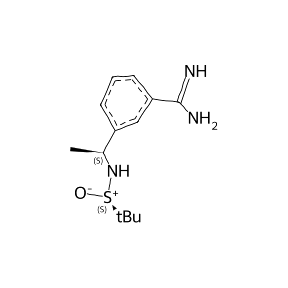 C[C@H](N[S@+]([O-])C(C)(C)C)c1cccc(C(=N)N)c1